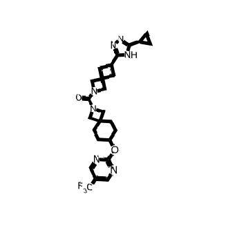 O=C(N1CC2(CCC(Oc3ncc(C(F)(F)F)cn3)CC2)C1)N1CC2(CC(c3nnc(C4CC4)[nH]3)C2)C1